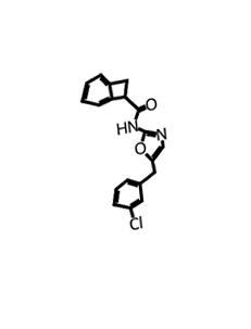 O=C(Nc1ncc(Cc2cccc(Cl)c2)o1)C1Cc2ccccc21